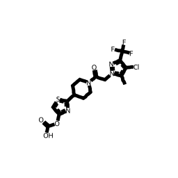 Cc1c(Cl)c(C(F)(F)F)nn1CC(=O)N1CCC(c2nc(OC(=O)O)cs2)CC1